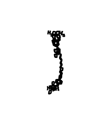 CC1(C)OCc2cc([C@@H]3CN(CCCCCCOCCC#Cc4ccc(CC5NC(=O)NC5=O)cc4)C(=O)O3)ccc2O1